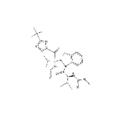 COC(=O)N[C@H](C(=O)N1c2ccccc2C[C@H]1[C@](NC=O)(C(=O)c1nnc(C(C)(C)C)o1)C(C)C)C(C)C